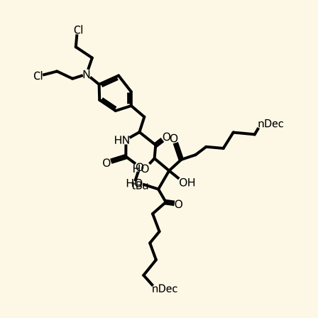 CCCCCCCCCCCCCCCC(=O)C(O)C(O)(C(=O)CCCCCCCCCCCCCCC)C(O)C(=O)C(Cc1ccc(N(CCCl)CCCl)cc1)NC(=O)OC(C)(C)C